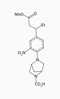 CCC(CC(=O)OC)c1ccc(N2CC3CC2CN3C(=O)O)c([N+](=O)[O-])c1